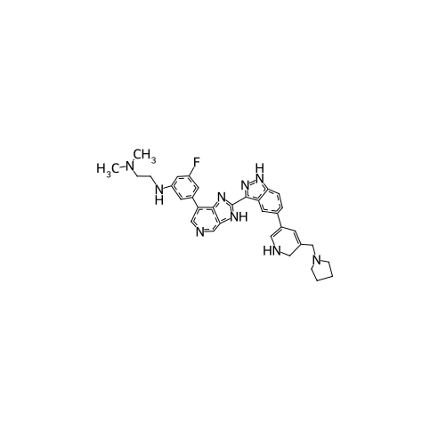 CN(C)CCNc1cc(F)cc(-c2cncc3[nH]c(-c4n[nH]c5ccc(C6=CNCC(CN7CCCC7)=C6)cc45)nc23)c1